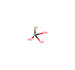 O[Si](O)(O)S